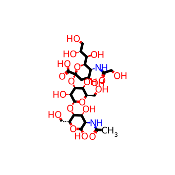 CC(=O)N[C@H]1C(O)O[C@H](CO)[C@@H](O[C@@H]2O[C@H](CO)[C@H](O)[C@H](O[C@]3(C(=O)O)C[C@H](O)[C@@H](NC(=O)CO)[C@H]([C@H](O)[C@H](O)CO)O3)[C@H]2O)[C@@H]1O